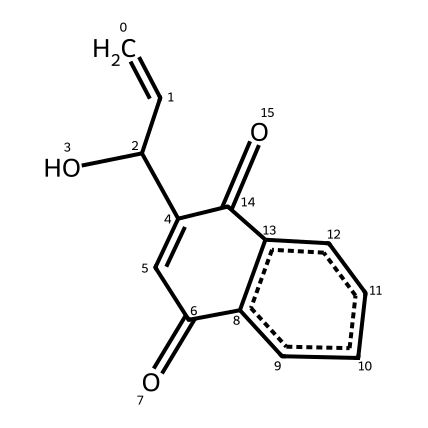 C=CC(O)C1=CC(=O)c2ccccc2C1=O